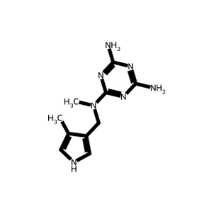 Cc1c[nH]cc1CN(C)c1nc(N)nc(N)n1